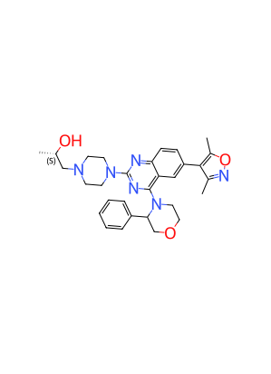 Cc1noc(C)c1-c1ccc2nc(N3CCN(C[C@H](C)O)CC3)nc(N3CCOCC3c3ccccc3)c2c1